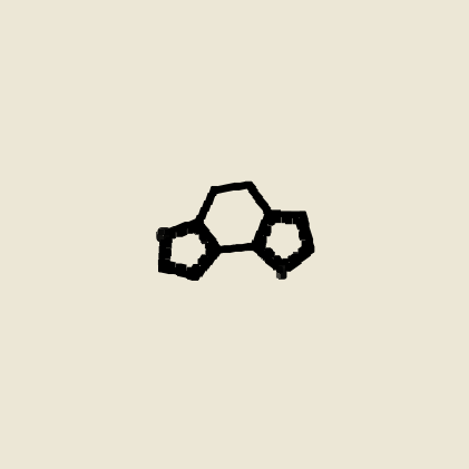 c1cc2c(o1)CCc1ccsc1-2